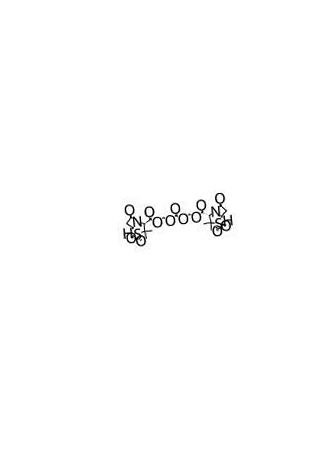 CC1(C)[C@H](C(=O)OCOC(=O)OCOC(=O)[C@@H]2N3C(=O)C[C@H]3S(=O)(=O)C2(C)C)N2C(=O)C[C@H]2S1(=O)=O